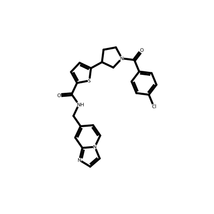 O=C(NCc1ccn2ccnc2c1)c1ccc(C2CCN(C(=O)c3ccc(Cl)cc3)C2)s1